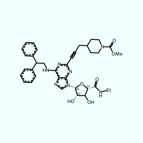 CCNC(=O)[C@H]1O[C@@H](n2cnc3c(NCC(c4ccccc4)c4ccccc4)nc(C#CCC4CCN(C(=O)OC)CC4)nc32)[C@@H](O)C1O